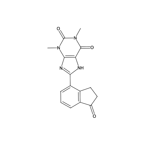 Cn1c(=O)c2[nH]c(-c3cccc4c3CCC4=O)nc2n(C)c1=O